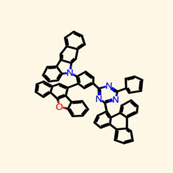 c1ccc(-c2nc(-c3ccc(-n4c5ccccc5c5cc6ccccc6cc54)c(-c4cc5ccccc5c5oc6ccccc6c45)c3)nc(-c3cccc4c5ccccc5c5ccccc5c34)n2)cc1